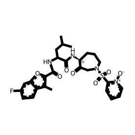 Cc1c(C(=O)NC(CC(C)C)C(=O)N[C@H]2CCCN(S(=O)(=O)c3cccc[n+]3[O-])CC2=O)oc2cc(F)ccc12